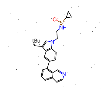 CC(C)(C)Cc1cn(CCN[S+]([O-])C2CC2)c2ccc(-c3cccc4ccncc34)cc12